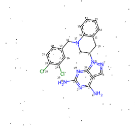 Nc1nc(N)c2cnn(C3Cc4ccccc4N(Cc4ccc(Cl)c(Cl)c4)C3)c2n1